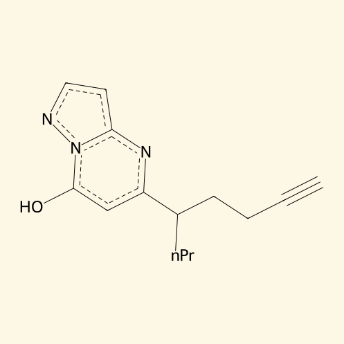 C#CCCC(CCC)c1cc(O)n2nccc2n1